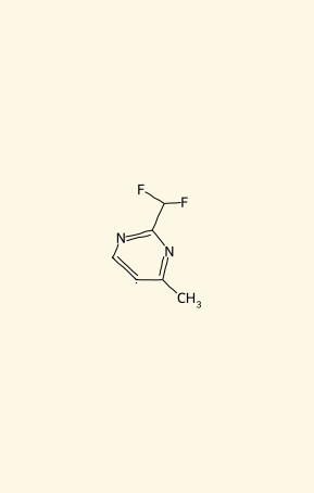 Cc1[c]cnc(C(F)F)n1